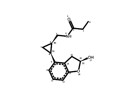 CCC(=O)NC[C@@H]1C[C@@H]1c1cccc2c1C[C@@H](O)O2